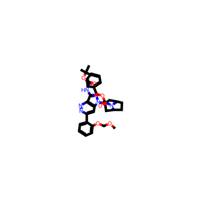 COCOc1ccccc1-c1cc2c(nn1)c(NC(=O)OC(C)(C)C)nn2C1CC2CCC(C1)N2C(=O)OCc1ccccc1